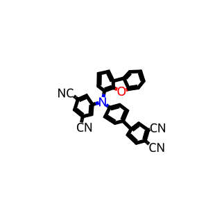 N#Cc1cc(C#N)cc(N(c2ccc(-c3ccc(C#N)c(C#N)c3)cc2)c2cccc3c2oc2ccccc23)c1